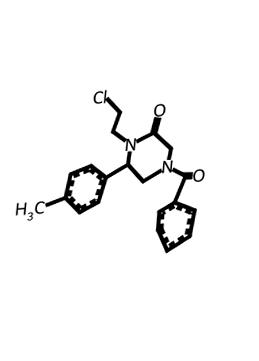 Cc1ccc(C2CN(C(=O)c3ccccc3)CC(=O)N2CCCl)cc1